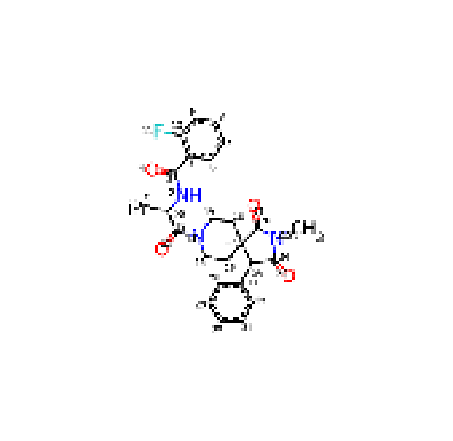 CC(C)[C@@H](NC(=O)c1ccccc1F)C(=O)N1CCC2(CC1)C(=O)N(C)C(=O)C2c1ccccc1